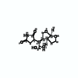 O=C(O)O.O=C1CC(O[C@H]2CO[C@H]3OCC[C@H]32)C(=O)N1